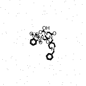 CN(CC12CN(C(=O)O)CC(=O)N1CC1(CCN(Cc3ccccc3)CC1)O2)S(=O)(=O)c1ccccc1[N+](=O)[O-]